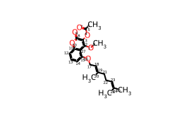 COc1c(OC(C)=O)c(=O)oc2cccc(OC/C=C(\C)CCC=C(C)C)c12